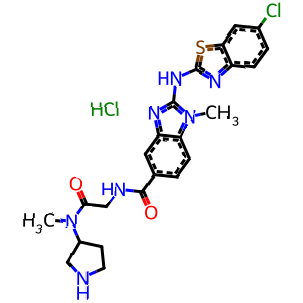 CN(C(=O)CNC(=O)c1ccc2c(c1)nc(Nc1nc3ccc(Cl)cc3s1)n2C)C1CCNC1.Cl